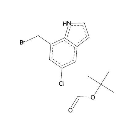 CC(C)(C)OC=O.Clc1cc(CBr)c2[nH]ccc2c1